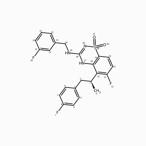 C[C@@H](Cc1ccc(F)cc1)c1c(F)ccc2c1NC(NCc1cccc(F)c1)=NS2(=O)=O